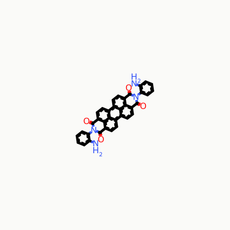 Nc1ccccc1N1C(=O)c2ccc3c4ccc5c6c(ccc(c7ccc(c2c37)C1=O)c64)C(=O)N(c1ccccc1N)C5=O